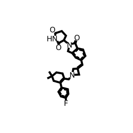 CC1(C)CCC(CN2CC(=Cc3ccc4c(c3)CN(C3CCC(=O)NC3=O)C4=O)C2)=C(c2ccc(F)cc2)C1